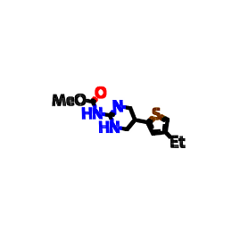 CCc1csc(C2CN=C(NC(=O)OC)NC2)c1